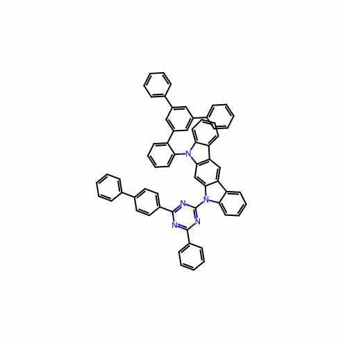 c1ccc(-c2ccc(-c3nc(-c4ccccc4)nc(-n4c5ccccc5c5cc6c7ccccc7n(-c7ccccc7-c7cc(-c8ccccc8)cc(-c8ccccc8)c7)c6cc54)n3)cc2)cc1